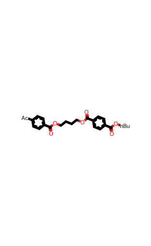 CCCCOC(=O)c1ccc(C(=O)OCCCCOC(=O)c2ccc(C(C)=O)cc2)cc1